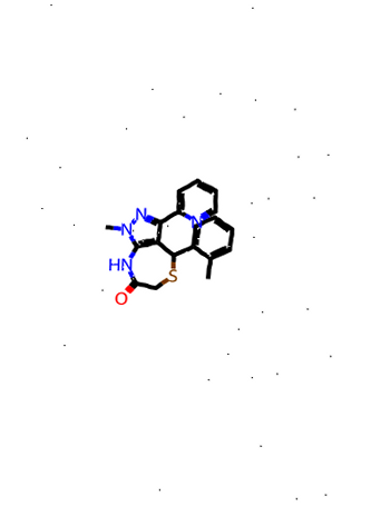 Cc1ccccc1C1SCC(=O)Nc2c1c(-c1ccccn1)nn2C